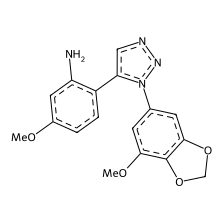 COc1ccc(-c2cnnn2-c2cc(OC)c3c(c2)OCO3)c(N)c1